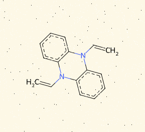 C=CN1c2ccccc2N(C=C)c2ccccc21